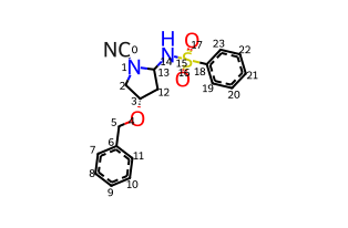 N#CN1C[C@@H](OCc2ccccc2)CC1NS(=O)(=O)c1ccccc1